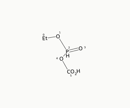 CCO[PH](=O)OC(=O)O